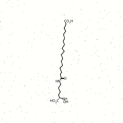 O=C(O)CCCCCCCCCCCCCCCCC(=O)NCCCC[C@H](NO)C(=O)O